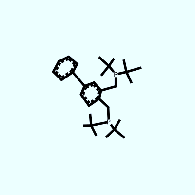 CC(C)(C)P(Cc1ccc(-c2ccccc2)cc1CP(C(C)(C)C)C(C)(C)C)C(C)(C)C